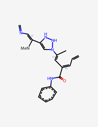 C=C/C=C(\C=C(/C)N1C=C(/C(=C/N=C)NC)NN1)C(=O)Nc1ccccc1